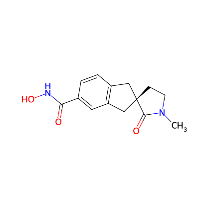 CN1CC[C@@]2(Cc3ccc(C(=O)NO)cc3C2)C1=O